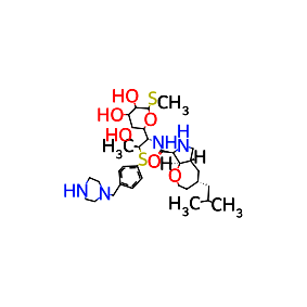 CSC1OC([C@H](NC(=O)[C@H]2NC[C@@H]3C[C@H](CC(C)C)CCO[C@H]32)[C@H](C)Sc2ccc(CN3CCNCC3)cc2)C(O)C(O)C1O